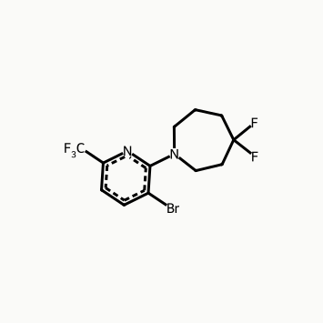 FC1(F)CCCN(c2nc(C(F)(F)F)ccc2Br)CC1